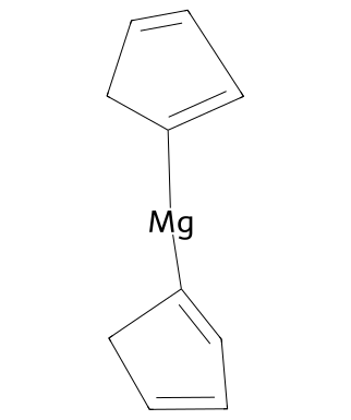 C1=CC[C]([Mg][C]2=CC=CC2)=C1